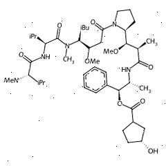 CC[C@H](C)[C@@H](C(CC(=O)N1CCC[C@H]1[C@H](OC)[C@@H](C)C(=O)N[C@H](C)[C@@H](OC(=O)C1CC[C@@H](O)C1)c1ccccc1)OC)N(C)C(=O)[C@@H](NC(=O)[C@@H](NC)C(C)C)C(C)C